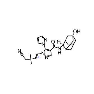 CC(C)(/C=C/n1ncc(C(=O)N[C@H]2C3CC4CC2C[C@](O)(C4)C3)c1-n1cccn1)CC#N